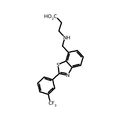 O=C(O)CCNCc1cccc2nc(-c3cccc(C(F)(F)F)c3)sc12